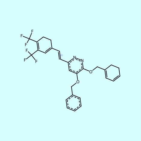 FC(F)(F)C1=C(C(F)(F)F)CCC(/C=C/c2cc(OCc3ccccc3)c(OCC3=CC=CCC3)nn2)=C1